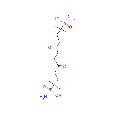 CC(C)(CCC(=O)CCC(=O)CCC(C)(C)P(N)(=O)O)P(N)(=O)O